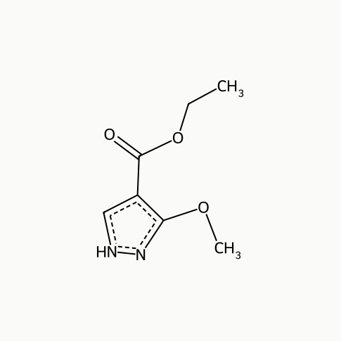 CCOC(=O)c1c[nH]nc1OC